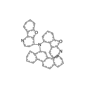 c1ccc2c(c1)ccc1c3ccccc3c(N(c3ccnc4c3oc3ccccc34)c3cccc4oc5ncccc5c34)cc21